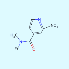 CCN(C)C(=O)c1ccnc([N+](=O)[O-])c1